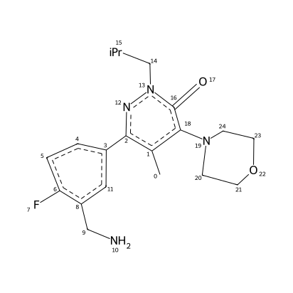 Cc1c(-c2ccc(F)c(CN)c2)nn(CC(C)C)c(=O)c1N1CCOCC1